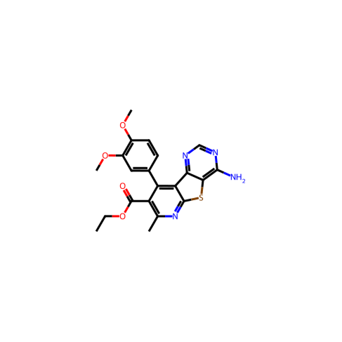 CCOC(=O)c1c(C)nc2sc3c(N)ncnc3c2c1-c1ccc(OC)c(OC)c1